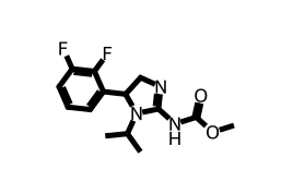 COC(=O)NC1=NCC(c2cccc(F)c2F)N1C(C)C